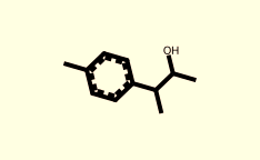 Cc1ccc(C(C)C(C)O)cc1